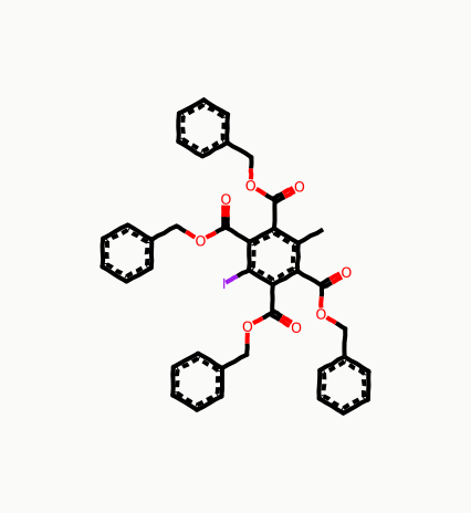 Cc1c(C(=O)OCc2ccccc2)c(C(=O)OCc2ccccc2)c(I)c(C(=O)OCc2ccccc2)c1C(=O)OCc1ccccc1